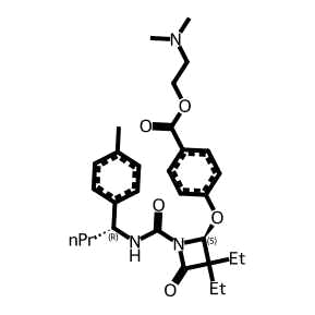 CCC[C@@H](NC(=O)N1C(=O)C(CC)(CC)[C@@H]1Oc1ccc(C(=O)OCCN(C)C)cc1)c1ccc(C)cc1